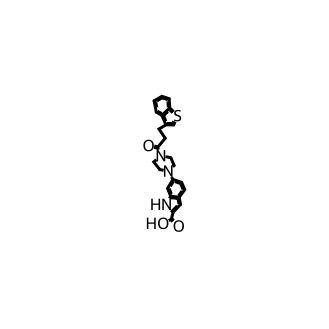 O=C(O)c1cc2ccc(N3CCN(C(=O)CCc4csc5ccccc45)CC3)cc2[nH]1